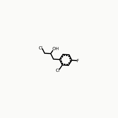 OC(CCl)Cc1ccc(F)cc1Cl